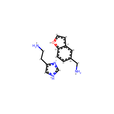 NCCc1c[nH]cn1.NCc1ccc2occc2c1